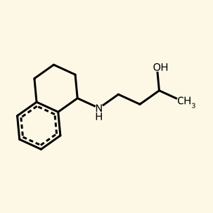 CC(O)CCNC1CCCc2ccccc21